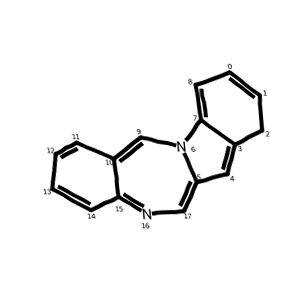 C1=CCc2cc3n(c2=C1)C=c1ccccc1=NC=3